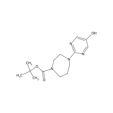 CC(C)(C)OC(=O)N1CCCN(c2ncc(O)cn2)CC1